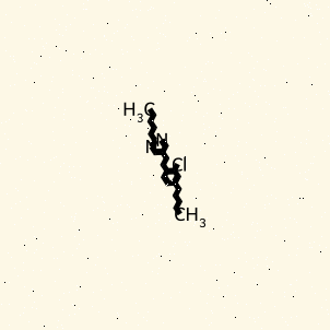 CCCCCc1ccc(CCc2cnc(CCCCC)nc2)c(Cl)c1